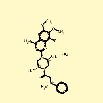 COc1cc2c(N)nc(N3C[C@@H](C)N(C(=O)C[C@@H](N)c4ccccc4)C[C@@H]3C)nc2c(F)c1OC.Cl